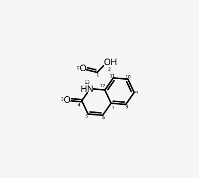 O=CO.O=c1ccc2ccccc2[nH]1